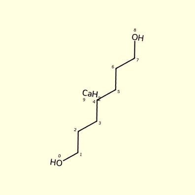 OCCCCCCCO.[CaH2]